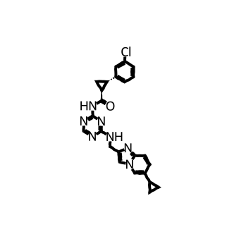 O=C(Nc1ncnc(NCc2cn3cc(C4CC4)ccc3n2)n1)[C@H]1C[C@@H]1c1cccc(Cl)c1